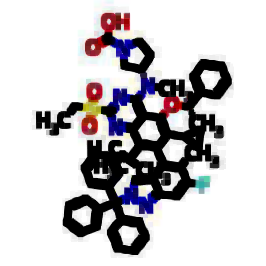 CCS(=O)(=O)c1nc(N(C)[C@H]2CCN(C(=O)O)C2)c2c(O[C@@H](C)c3ccccc3)c(C3CC3)c(-c3c(C)c(F)cc4nn(C(c5ccccc5)(c5ccccc5)c5ccccc5)cc34)c(C(C)(C)C)c2n1